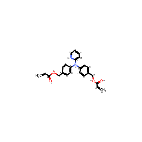 C=CC(=O)OCc1ccc(N(c2ccc(COC(=O)C=C)cc2)c2ccccn2)cc1